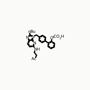 CCCCc1nc2ccc(NCCC(C)=O)nc2n1Cc1ccc(-c2ccccc2OC(=O)O)cc1